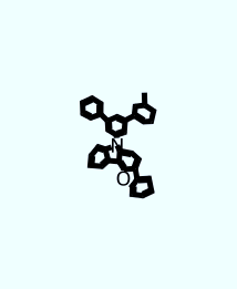 CC1CCC=C(c2cc(-c3ccccc3)cc(-n3c4ccccc4c4c5oc6ccccc6c5ccc43)c2)C1